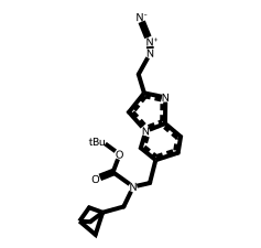 CC(C)(C)OC(=O)N(Cc1ccc2nc(CN=[N+]=[N-])cn2c1)CC12CC(C1)C2